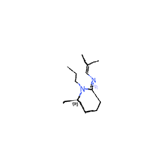 CCCN1/C(=N\C=C(C)C)CCC[C@H]1C